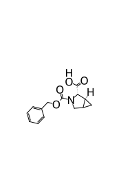 O=C(O)[C@@H]1[C@H]2CC2CN1C(=O)OCc1ccccc1